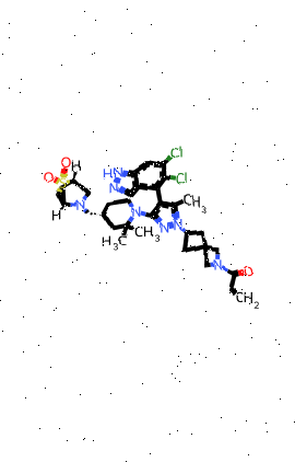 C=CC(=O)N1CC2(CC(n3nc(N4CC[C@@H](CN5C[C@@H]6C[C@H]5CS6(=O)=O)CC4(C)C)c(-c4c(Cl)c(Cl)cc5[nH]ncc45)c3C)C2)C1